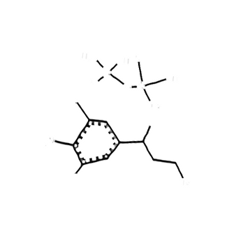 CC(C)(C)[Si](C)(C)O[Si](C)(C)C(C)(C)C.Nc1c(Cl)cc(C(O)CCBr)cc1Cl